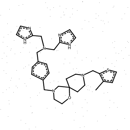 Cc1ccsc1CN1CCC2(CC1)CN(Cc1ccc(CN(Cc3ncc[nH]3)Cc3ncc[nH]3)cc1)CCO2